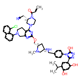 C=CC(=O)N1CCN(c2nc(OC[C@@H]3C[C@@H](NCc4ccc(-n5c(O)nnc5-c5cc(C(C)C)c(O)cc5O)cc4)CN3C)nc3c2CCN(c2cccc4cccc(Cl)c24)C3)C[C@@H]1CC#N